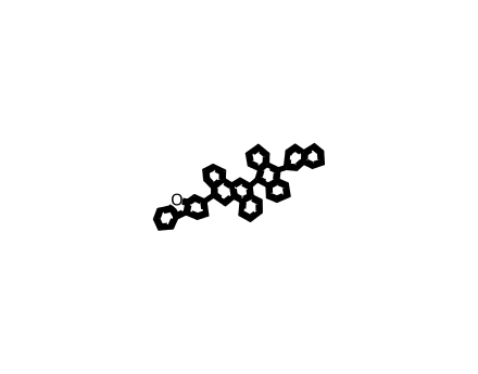 c1ccc2cc(-c3c4ccccc4c(-c4cc5c6ccccc6c(-c6ccc7c(c6)oc6ccccc67)cc5c5ccccc45)c4ccccc34)ccc2c1